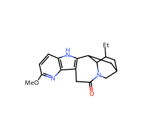 CCC1CC2CC3c4[nH]c5ccc(OC)nc5c4CC(=O)N(C2)C13